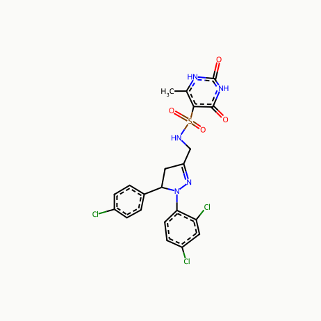 Cc1[nH]c(=O)[nH]c(=O)c1S(=O)(=O)NCC1=NN(c2ccc(Cl)cc2Cl)C(c2ccc(Cl)cc2)C1